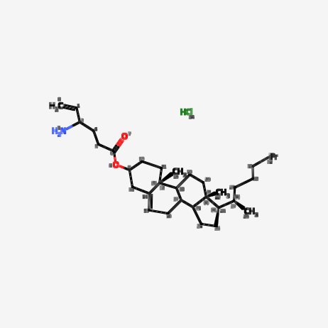 C=CC(N)CCC(=O)OC1CC[C@@]2(C)C(=CCC3C2CC[C@@]2(C)C3CC[C@@H]2[C@H](C)CCCC(C)C)C1.Cl